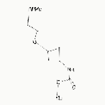 CNCCOC1CC(NC(=O)OC(C)(C)C)C1